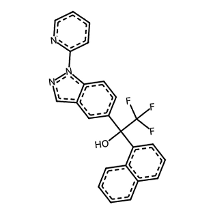 OC(c1ccc2c(cnn2-c2ccccn2)c1)(c1cccc2ccccc12)C(F)(F)F